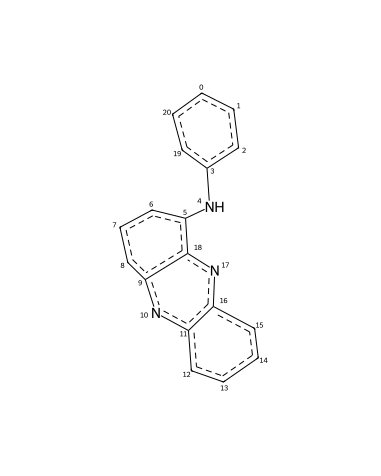 c1ccc(Nc2cccc3nc4ccccc4nc23)cc1